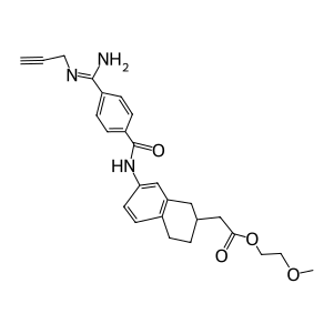 C#CCN=C(N)c1ccc(C(=O)Nc2ccc3c(c2)CC(CC(=O)OCCOC)CC3)cc1